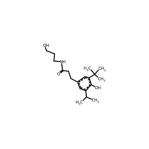 CC(C)c1cc(CCC(=O)NCCCO)cc(C(C)(C)C)c1O